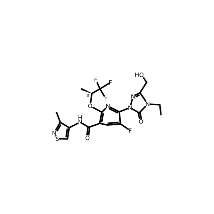 CCn1c(CO)nn(-c2nc(O[C@@H](C)C(F)(F)F)c(C(=O)Nc3csnc3C)cc2F)c1=O